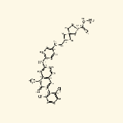 Cn1c(=O)c(-c2c(Cl)cccc2Cl)cc2cnc(Nc3ccc(OCC4CC5(CCN(C(=O)OC(C)(C)C)C5)C4)cn3)nc21